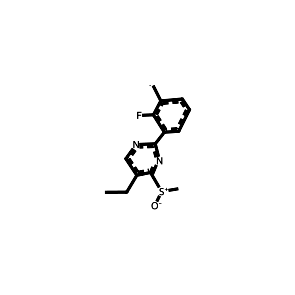 [CH2]c1cccc(-c2ncc(CC)c([S+](C)[O-])n2)c1F